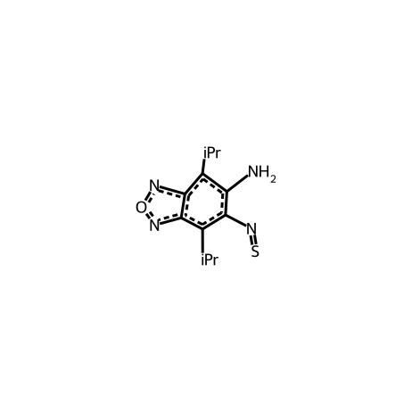 CC(C)c1c(N)c(N=S)c(C(C)C)c2nonc12